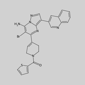 Nc1c(Br)c(C2=CCN(C(=O)c3cccs3)CC2)nc2c(-c3cnc4ccccc4c3)cnn12